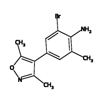 Cc1cc(-c2c(C)noc2C)cc(Br)c1N